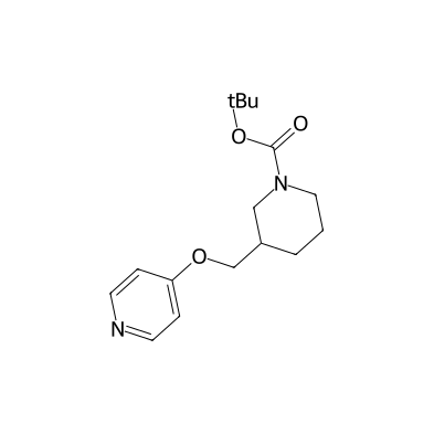 CC(C)(C)OC(=O)N1CCCC(COc2ccncc2)C1